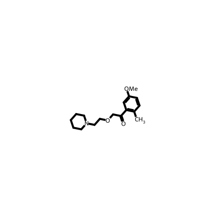 COc1ccc(C)c(C(=O)COCCN2CCCCC2)c1